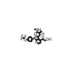 C=C(Cc1nn(-c2ccc(OC(F)(F)F)cc2)c2nccc(C(O)CO)c12)C(=O)NC